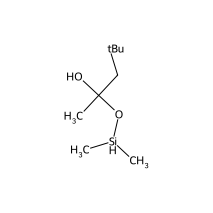 C[SiH](C)OC(C)(O)CC(C)(C)C